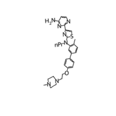 CCCN(c1nc(-c2nccc(N)n2)cs1)c1cc(-c2ccc(OCCN3CCN(C)CC3)cc2)ccc1C